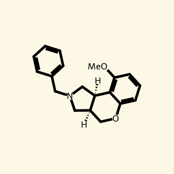 COc1cccc2c1[C@@H]1CN(Cc3ccccc3)C[C@@H]1CO2